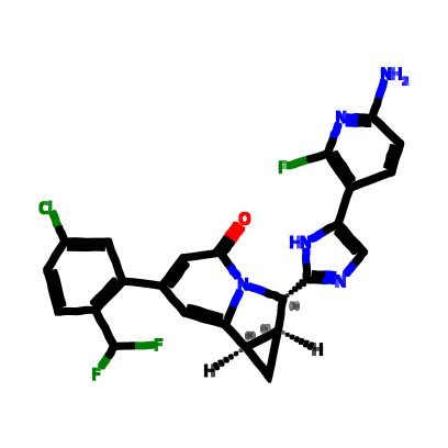 Nc1ccc(-c2cnc([C@@H]3[C@H]4C[C@H]4c4cc(-c5cc(Cl)ccc5C(F)F)cc(=O)n43)[nH]2)c(F)n1